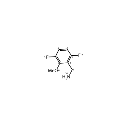 COc1c(F)ccc(F)c1CN